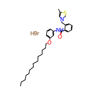 Br.CCCCCCCCCCCCCCOc1cccc(NC(=O)c2ccccc2CN2C=C(C)SC2)c1